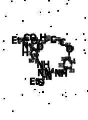 CCOc1nc2nc(n1)Nc1ccc(C(=O)N[C@H](CC)C(=O)O)c(c1)OCCCCCCOc1ccc(cc1)CN2